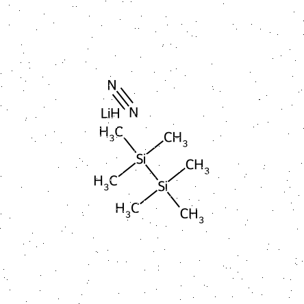 C[Si](C)(C)[Si](C)(C)C.N#N.[LiH]